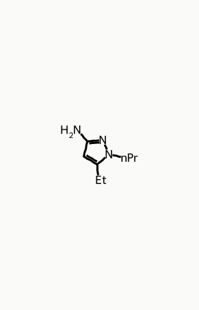 CCCn1nc(N)cc1CC